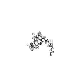 CCS(=O)(=O)Nc1ccc2c(c1)CC(C)N1C2c2c(F)cc(NC3CN(CCCF)C3)cc2C2C3CC21C3